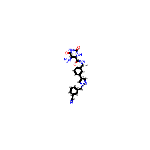 C[C@@H](NC(=O)c1[nH]c(=O)[nH]c(=O)c1N)c1cccc(-c2cnn(Cc3cccc(C#N)c3)c2)c1